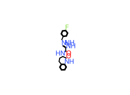 O=C(N[C@H]1CCc2ccccc2NC1=O)C1=CN(Cc2ccc(F)cc2)NN1